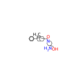 CC12CC3CC(C(=O)N4CCC(N)(CO)CC4)(C1)CC(c1ccccc1)(C3)C2